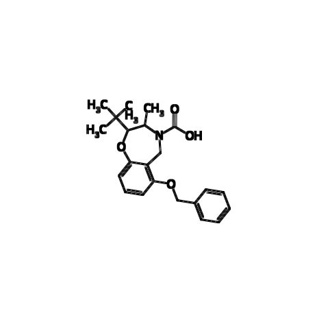 CC1C(C(C)(C)C)Oc2cccc(OCc3ccccc3)c2CN1C(=O)O